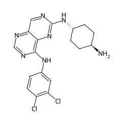 N[C@H]1CC[C@H](Nc2ncc3ncnc(Nc4ccc(Cl)c(Cl)c4)c3n2)CC1